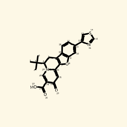 CC(C)(C)C1Cc2c(oc3cc(-c4cscn4)ccc23)-c2cc(=O)c(C(=O)O)cn21